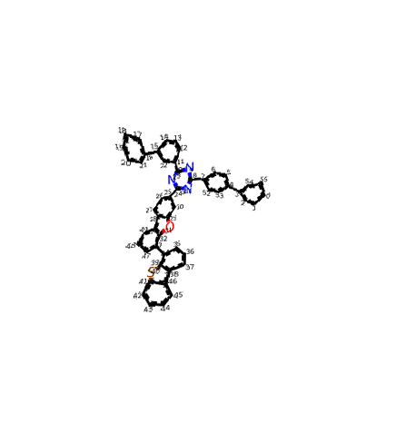 c1ccc(-c2ccc(-c3nc(-c4cccc(-c5ccccc5)c4)nc(-c4ccc5c(c4)oc4c(-c6cccc7c6sc6ccccc67)cccc45)n3)cc2)cc1